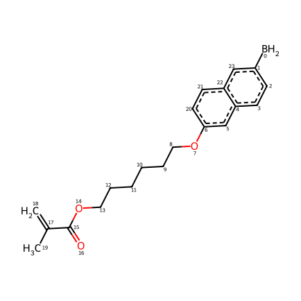 Bc1ccc2cc(OCCCCCCOC(=O)C(=C)C)ccc2c1